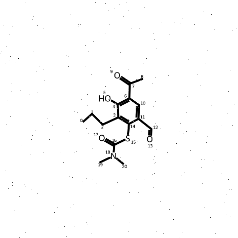 CCCc1c(O)c(C(C)=O)cc(C=O)c1SC(=O)N(C)C